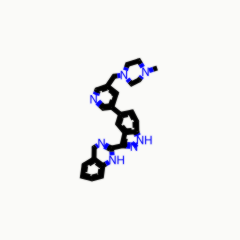 CN1CCN(Cc2cncc(-c3ccc4[nH]nc(C5=NCc6ccccc6N5)c4c3)c2)CC1